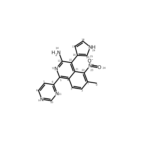 Cc1ccc2c(-c3ccncn3)nc(N)c(-c3cc[nH]c3)c2c1[N+](=O)[O-]